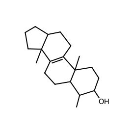 CC1C(O)CCC2(C)C3=C(CCC12)C1(C)CCCC1CC3